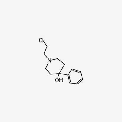 OC1(c2ccccc2)CCN(CCCl)CC1